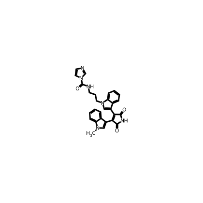 Cn1cc(C2=C(c3cn(CCCNC(=O)n4ccnc4)c4ccccc34)C(=O)NC2=O)c2ccccc21